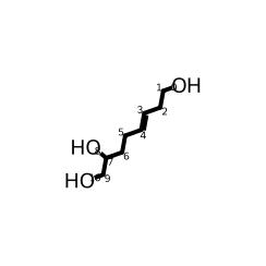 OCCC=CCCC(O)CO